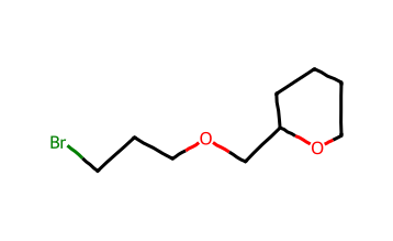 BrCCCOCC1CCCCO1